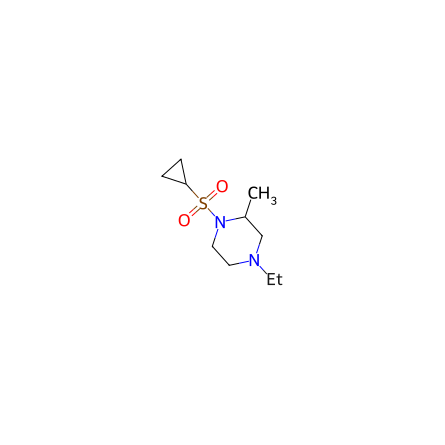 CCN1CCN(S(=O)(=O)C2CC2)C(C)C1